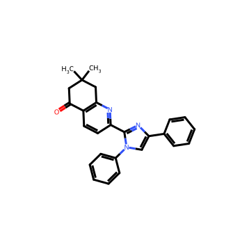 CC1(C)CC(=O)c2ccc(-c3nc(-c4ccccc4)cn3-c3ccccc3)nc2C1